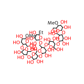 CCC1O[C@H](OCC2O[C@H](O[C@@H]3C(CO)O[C@H](O[C@@H]4C(CO)O[C@H](O[C@@H]5C(CO)O[C@H](OC)[C@H](O)[C@H]5O)[C@H](O)[C@H]4O)[C@H](O)[C@H]3O)[C@H](O)[C@@H](O)[C@@H]2O[C@H]2OC(CO)[C@@H](O[C@H]3OC(CO)[C@@H](O[C@H]4OC(CO)[C@@H](OC)[C@H](O)[C@H]4O)[C@H](O)[C@H]3O)[C@H](O)[C@H]2O)[C@H](O)[C@@H](O)[C@@H]1O